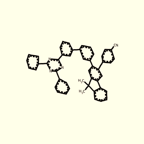 CC1(C)c2ccccc2-c2cc(-c3ccc(C#N)cc3)c(-c3cccc(-c4cccc(-c5nc(-c6ccccc6)nc(-c6ccccc6)n5)c4)c3)cc21